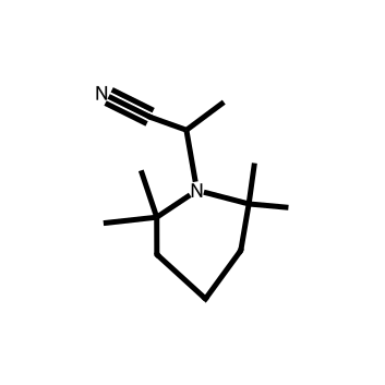 CC(C#N)N1C(C)(C)CCCC1(C)C